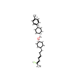 N#CC(F)=CC=CCC[C@H]1CC[C@H](OC[C@H]2CC[C@H](c3ccc(C(F)(F)F)cc3)CC2)CC1